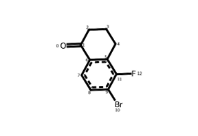 O=C1CCCc2c1ccc(Br)c2F